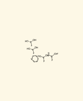 OB(O)F.OB(O)F.OB(O)F.OB(O)F.c1ccncc1